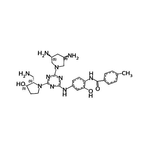 Cc1ccc(C(=O)Nc2ccc(Nc3nc(N4C[C@H](N)C[C@H](N)C4)nc(N4CC[C@H](O)[C@@H]4CN)n3)cc2O)cc1